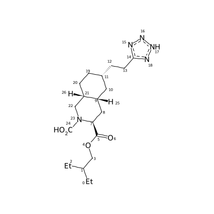 CCC(CC)COC(=O)[C@@H]1C[C@H]2C[C@@H](CCc3nn[nH]n3)CC[C@H]2CN1C(=O)O